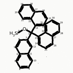 [SiH3]OC(c1ccc2ccccc2c1)(c1cccc2ccccc12)c1cccc2ccccc12